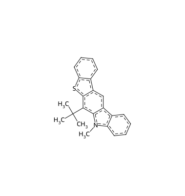 Cn1c2ccccc2c2cc3c(sc4ccccc43)c(C(C)(C)C)c21